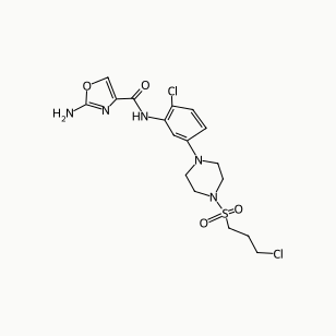 Nc1nc(C(=O)Nc2cc(N3CCN(S(=O)(=O)CCCCl)CC3)ccc2Cl)co1